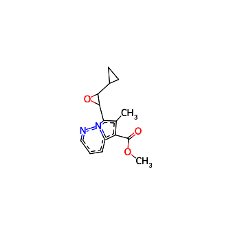 COC(=O)c1c(C)c(C2OC2C2CC2)n2ncccc12